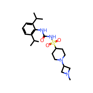 CC(C)c1cccc(C(C)C)c1NC(=O)NS(=O)(=O)C1CCN(C2CN(C)C2)CC1